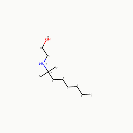 CCCCCCC(C)(C)NCCO